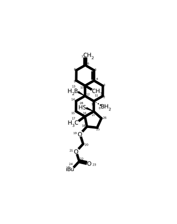 B[C@@]12CCC3=CC(=C)CCC3(C)[C@@]1(B)CCC1(C)C(OCOC(=O)C(C)CC)CC[C@]12S